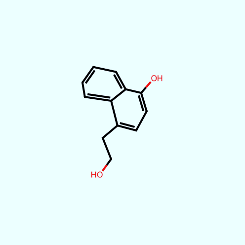 OCCc1ccc(O)c2ccccc12